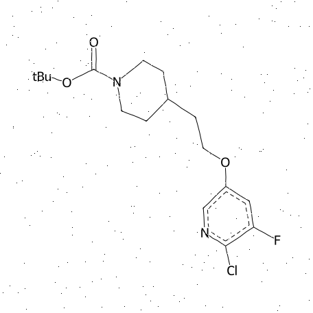 CC(C)(C)OC(=O)N1CCC(CCOc2cnc(Cl)c(F)c2)CC1